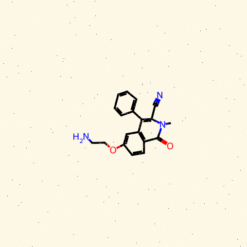 Cn1c(C#N)c(-c2ccccc2)c2cc(OCCN)ccc2c1=O